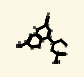 CCN(CC(=O)O)c1cc(=O)oc2cc(O)ccc12